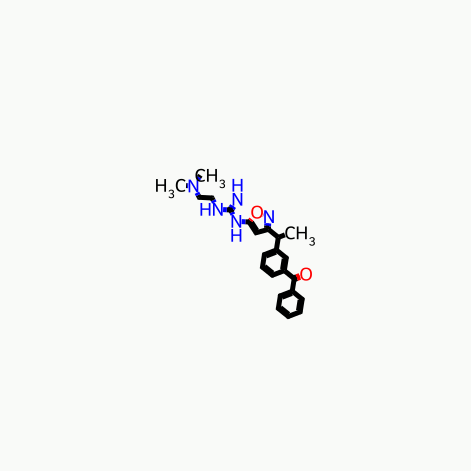 CC(c1cccc(C(=O)c2ccccc2)c1)c1cc(NC(=N)NCCN(C)C)on1